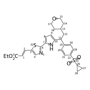 CCOC(=O)/C=C/c1cnc(-c2ccc(C(CC3CCOCC3)c3ccc(S(=O)(=O)C4CC4)cc3)[nH]2)s1